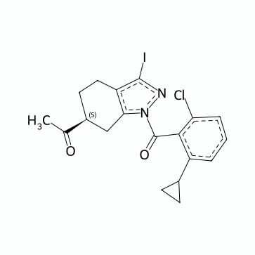 CC(=O)[C@H]1CCc2c(I)nn(C(=O)c3c(Cl)cccc3C3CC3)c2C1